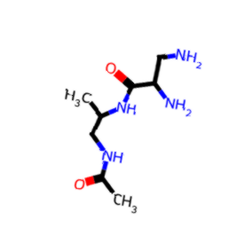 CC(=O)NCC(C)NC(=O)C(N)CN